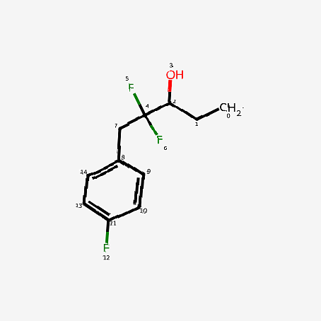 [CH2]CC(O)C(F)(F)Cc1ccc(F)cc1